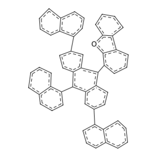 c1ccc2c(-c3ccc4c(-c5cccc6c5oc5ccccc56)c5cc(-c6cccc7ccccc67)ccc5c(-c5cccc6ccccc56)c4c3)cccc2c1